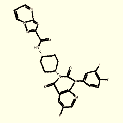 O=C(N[C@H]1CC[C@@H](n2c(=O)c3cc(F)cnc3n(-c3ccc(F)c(F)c3)c2=O)CC1)c1nc2ncccn2n1